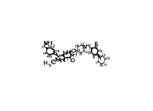 Cn1nc2c(=O)n(CC3(O)CCN(Cc4ccc(N5CCCCC5)cc4F)CC3)cnc2c1-c1ccc(CN)cc1